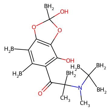 Bc1c(B)c(C(=O)C(B)(C)N(C)C(B)(B)B)c(O)c2c1OC(B)(O)O2